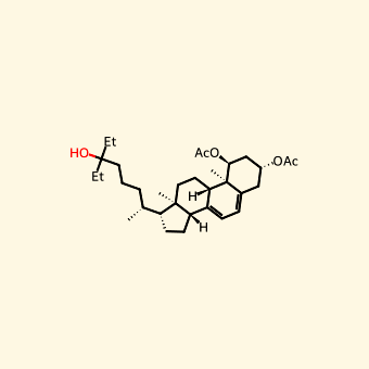 CCC(O)(CC)CCC[C@@H](C)[C@H]1CC[C@H]2C3=CC=C4C[C@@H](OC(C)=O)C[C@H](OC(C)=O)[C@]4(C)[C@H]3CC[C@]12C